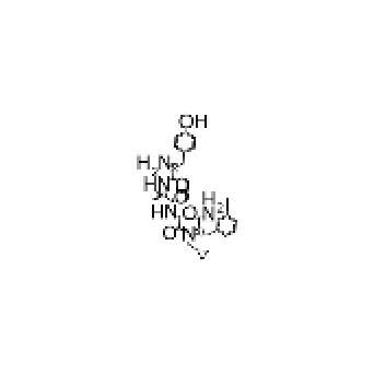 C[C@@H](NC(=O)[C@@H](N)Cc1ccc(O)cc1)C(=O)NCC(=O)N(CC1CC1)[C@@H](Cc1cccc(I)c1)C(N)=O